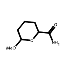 COC1CCCC(C(N)=O)O1